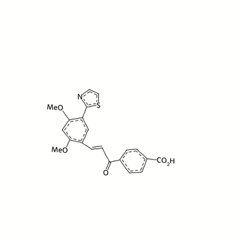 COc1cc(OC)c(-c2nccs2)cc1/C=C/C(=O)c1ccc(C(=O)O)cc1